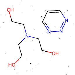 OCCN(CCO)CCO.c1cnnnc1